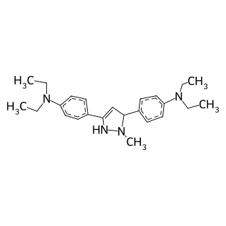 CCN(CC)c1ccc(C2=CC(c3ccc(N(CC)CC)cc3)N(C)N2)cc1